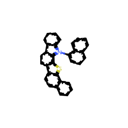 c1ccc2c(-n3c4ccccc4c4ccc5c6ccc7ccccc7c6sc5c43)cccc2c1